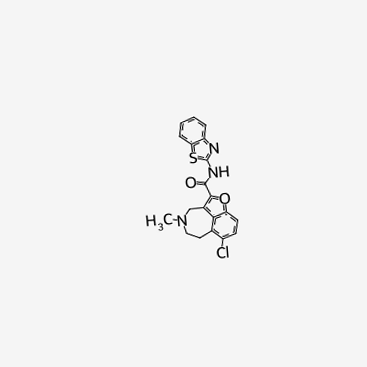 CN1CCc2c(Cl)ccc3oc(C(=O)Nc4nc5ccccc5s4)c(c23)C1